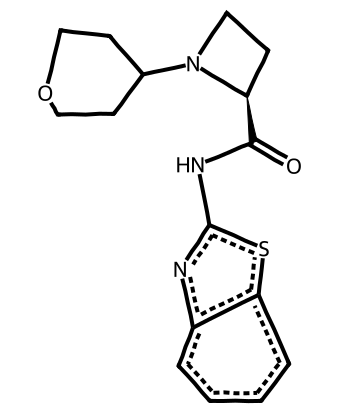 O=C(Nc1nc2ccccc2s1)[C@@H]1CCN1C1CCOCC1